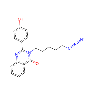 [N-]=[N+]=NCCCCCn1c(-c2ccc(O)cc2)nc2ccccc2c1=O